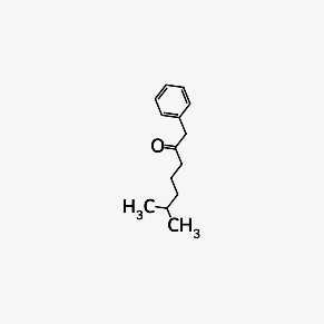 CC(C)CCCC(=O)Cc1ccccc1